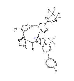 CC(C)(C)C[C@]1(c2ccc(-c3ccc(F)cc3)cc2)N/C2=N\C(F)c3ncnn3-c3cc(ccc3Cl)[C@@H](COC(=O)NC3(C(F)(F)F)CC3)N2C1=O